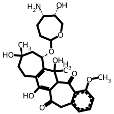 COc1cccc2c1C(=O)C1C(=C(O)C3=C([C@@H](OC4CC[C@H](N)[C@H](O)CO4)C[C@@](C)(O)CC3)C1(C)O)C(=O)C2